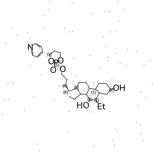 CC[C@@H]1C2C[C@H](O)CC[C@]2(C)C2CC[C@@]3(C)C(CC[C@@H]3[C@H](C)CCO[P@@]3(=O)OCC[C@@H](c4ccncc4)O3)C2[C@@H]1O